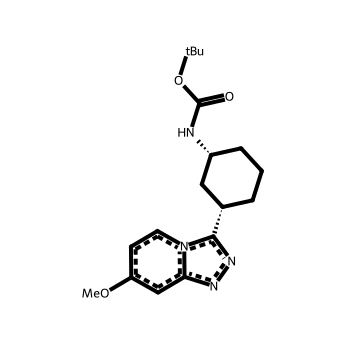 COc1ccn2c([C@H]3CCC[C@@H](NC(=O)OC(C)(C)C)C3)nnc2c1